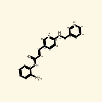 Nc1ccccc1NC(=O)C=Cc1ccc(NCc2cccnc2)nc1